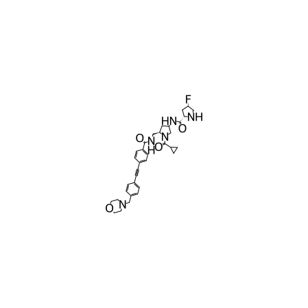 O=C(NC[C@H]1C[C@@H](NC(=O)[C@@H]2C[C@H](F)CN2)CN1C(=O)C1CC1)c1ccc(C#Cc2ccc(CN3CCOCC3)cc2)cc1